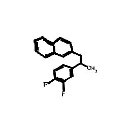 CC(Cc1ccc2ccccc2c1)c1ccc(F)c(F)c1